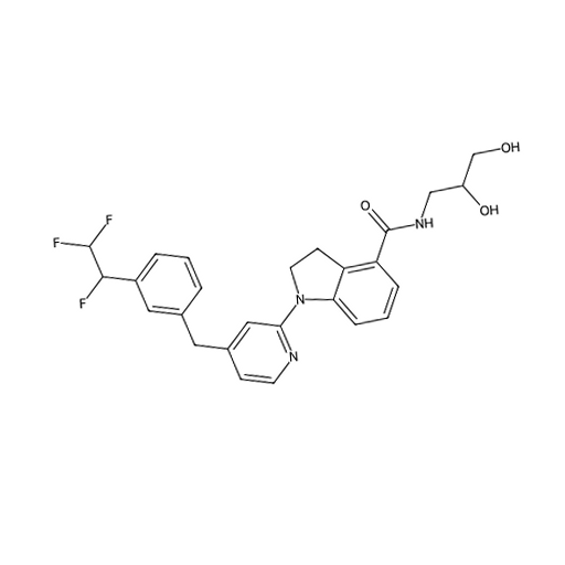 O=C(NCC(O)CO)c1cccc2c1CCN2c1cc(Cc2cccc(C(F)C(F)F)c2)ccn1